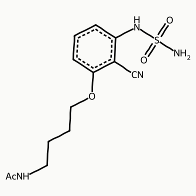 CC(=O)NCCCCOc1cccc(NS(N)(=O)=O)c1C#N